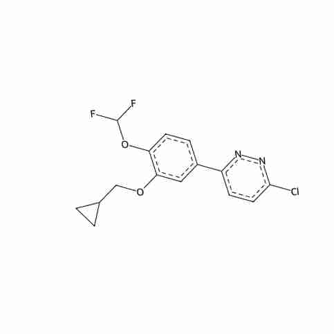 FC(F)Oc1ccc(-c2ccc(Cl)nn2)cc1OCC1CC1